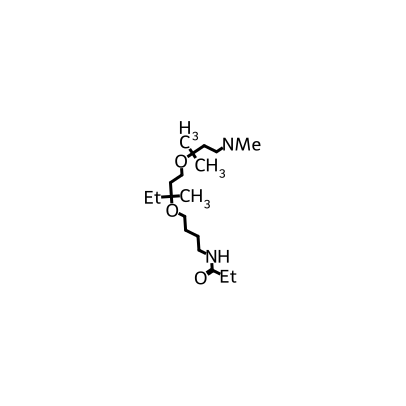 CCC(=O)NCCCCOC(C)(CC)CCOC(C)(C)CCNC